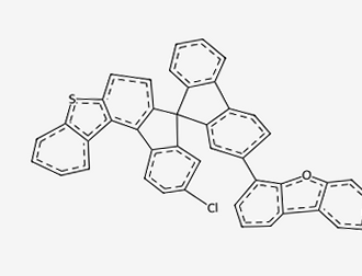 Clc1ccc2c(c1)C1(c3ccccc3-c3ccc(-c4cccc5c4oc4ccccc45)cc31)c1ccc3sc4ccccc4c3c1-2